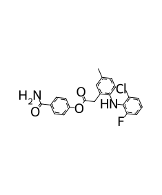 Cc1ccc(Nc2c(F)cccc2Cl)c(CC(=O)Oc2ccc(C(N)=O)cc2)c1